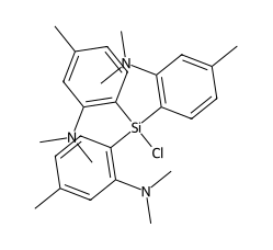 Cc1ccc([Si](Cl)(c2ccc(C)cc2N(C)C)c2ccc(C)cc2N(C)C)c(N(C)C)c1